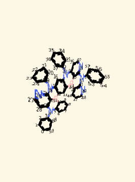 c1ccc(N2c3ccccc3B3c4cc5c(cc4N(c4ccccc4)c4nccc2c43)N(c2ccccc2)c2ccnc3c2B5c2cccnc2N3c2ccccc2)cc1